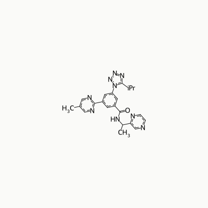 Cc1cnc(-c2cc(C(=O)NC(C)c3cnccn3)cc(-n3nnnc3C(C)C)c2)nc1